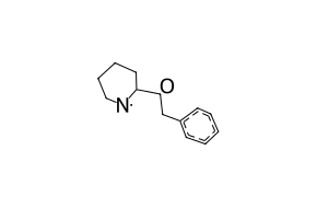 O=C(Cc1ccccc1)C1CCCC[N]1